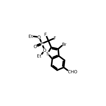 CCOP(=O)(OCC)C(F)(F)c1sc2ccc(C=O)cc2c1Br